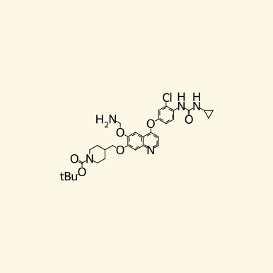 CC(C)(C)OC(=O)N1CCC(COc2cc3nccc(Oc4ccc(NC(=O)NC5CC5)c(Cl)c4)c3cc2OCN)CC1